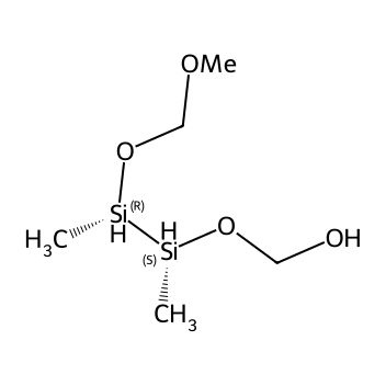 COCO[Si@@H](C)[Si@@H](C)OCO